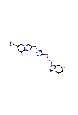 N#Cc1cc(C2CC2)cn2cc(Cn3cc(C(=O)NCc4ncn5ccc(Cl)cc45)nn3)nc12